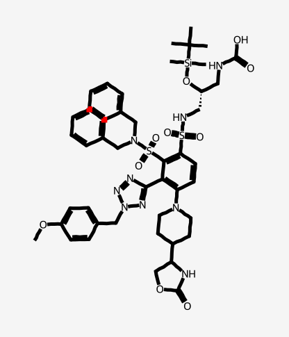 COc1ccc(Cn2nnc(-c3c(N4CCC(C5COC(=O)N5)CC4)ccc(S(=O)(=O)NC[C@@H](CNC(=O)O)O[Si](C)(C)C(C)(C)C)c3S(=O)(=O)N(Cc3ccccc3)Cc3ccccc3)n2)cc1